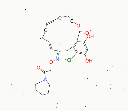 O=C1OCCC/C=C/CC/C=C/C(=N\OCC(=O)N2CCCCC2)Cc2c(Cl)c(O)cc(O)c21